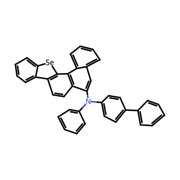 c1ccc(-c2ccc(N(c3ccccc3)c3cc4ccccc4c4c3ccc3c5ccccc5[se]c34)cc2)cc1